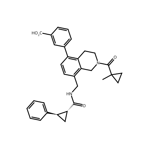 CC1(C(=O)N2CCc3c(-c4cccc(C(=O)O)c4)ccc(CNC(=O)[C@@H]4C[C@H]4c4ccccc4)c3C2)CC1